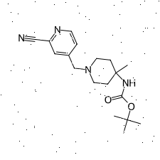 CC1(NC(=O)OC(C)(C)C)CCN(Cc2ccnc(C#N)c2)CC1